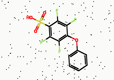 O=S(=O)(O)c1c(F)c(F)c(Oc2ccccc2)c(F)c1F